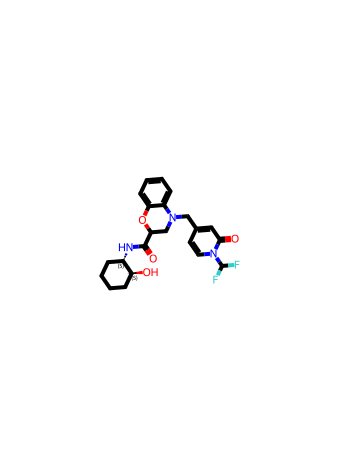 O=C(N[C@H]1CCCC[C@@H]1O)C1CN(Cc2ccn(C(F)F)c(=O)c2)c2ccccc2O1